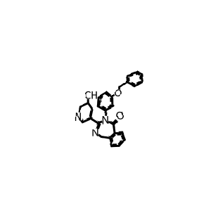 CC1C=C(C2=NCc3ccccc3C(=O)N2c2cccc(OCc3ccccc3)c2)C=NC1